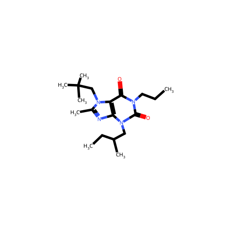 CCCn1c(=O)c2c(nc(C)n2CC(C)(C)C)n(CC(C)CC)c1=O